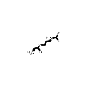 C=CC(=O)OCCC[SiH2]C(F)F